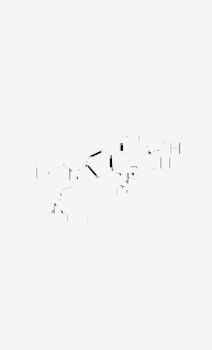 CCN(CCN(C)C)c1ccc(C(=O)OC(C)(C)C)c([N+](=O)[O-])c1